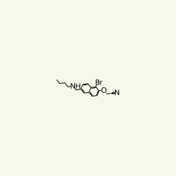 CCCCNCc1ccc2c(Br)c(OCC#N)ccc2c1